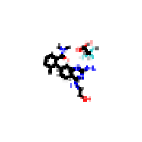 Cc1cccc(C(=O)N(C)C)c1-c1ccc2c(NCCO)nc(N)nc2c1.O=C(O)C(F)(F)F